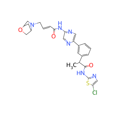 CC(C(=O)Nc1ncc(Cl)s1)c1cccc(-c2cnc(NC(=O)/C=C/CN3CC4CC3CO4)cn2)c1